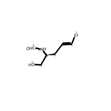 CC/C=C/C[C@@H](CO)NC=O